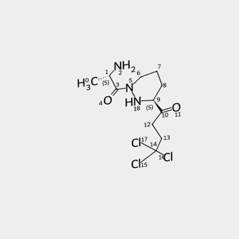 C[C@H](N)C(=O)N1CCC[C@@H](C(=O)CCC(Cl)(Cl)Cl)N1